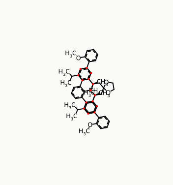 COc1ccccc1-c1cc(C(C)C)c(-c2cccc(-c3c(C(C)C)cc(-c4ccccc4OC)cc3C(C)C)c2P2C(c3ccccc3)CC3(CC2c2ccccc2)OCCO3)c(C(C)C)c1